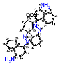 Nc1ccc(/N=N/c2ccccc2C2(/N=N/c3ccc(N)c4ccccc34)C=CC(C(=O)O)C=C2)c2ccccc12